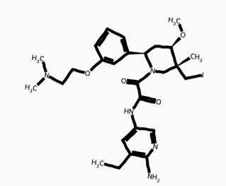 CCc1cc(NC(=O)C(=O)N2C[C@@](C)(CI)[C@H](OC)C[C@@H]2c2cccc(OCCN(C)C)c2)cnc1N